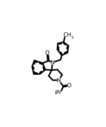 Cc1ccc(CN2C(=O)c3ccccc3C23CCN(C(=O)C(C)C)CC3)cc1